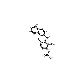 O=C(O)Oc1ccc(F)c(C(=O)c2ccc3nccnc3c2)c1F